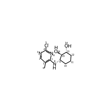 Cc1cnc(Cl)nc1N[C@H]1CCC[C@@H](O)[C@@H]1O